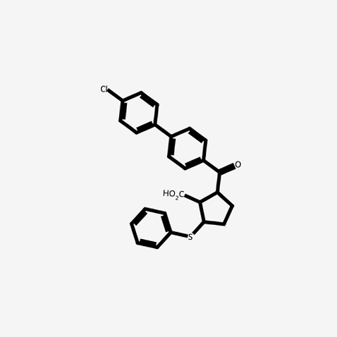 O=C(c1ccc(-c2ccc(Cl)cc2)cc1)C1CCC(Sc2ccccc2)C1C(=O)O